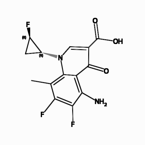 Cc1c(F)c(F)c(N)c2c(=O)c(C(=O)O)cn([C@@H]3C[C@H]3F)c12